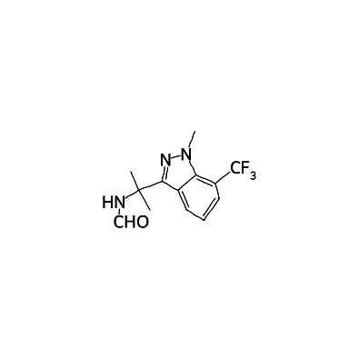 Cn1nc(C(C)(C)NC=O)c2cccc(C(F)(F)F)c21